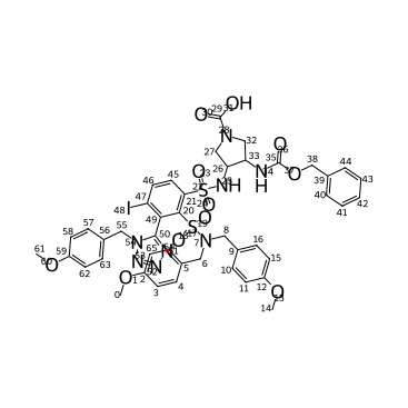 COc1ccc(CN(Cc2ccc(OC)cc2)S(=O)(=O)c2c(S(=O)(=O)NC3CN(C(=O)O)CC3NC(=O)OCc3ccccc3)ccc(I)c2-c2nnnn2Cc2ccc(OC)cc2)cc1